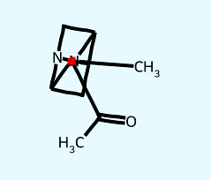 CC(=O)C1C2CC3C(CN32)N1C